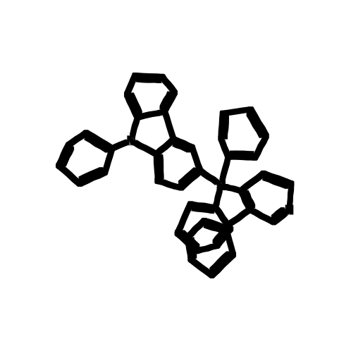 c1ccc(-c2cnccc2[Si](c2ccccc2)(c2ccccc2)c2ccc3c(c2)c2ccccc2n3-c2ccccc2)cc1